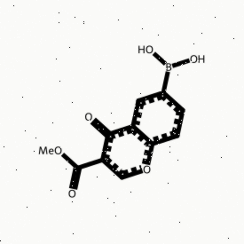 COC(=O)c1coc2ccc(B(O)O)cc2c1=O